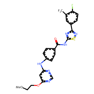 COCCOc1cc(Nc2ccc(C(=O)Nc3nc(-c4ccc(F)c(C(F)(F)F)c4)ns3)cc2)ncn1